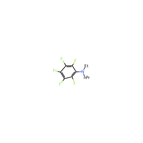 CCCN(CC)c1c(F)c(F)c(F)c(F)c1F